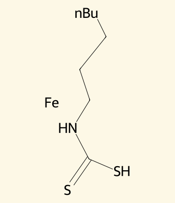 CCCCCCCNC(=S)S.[Fe]